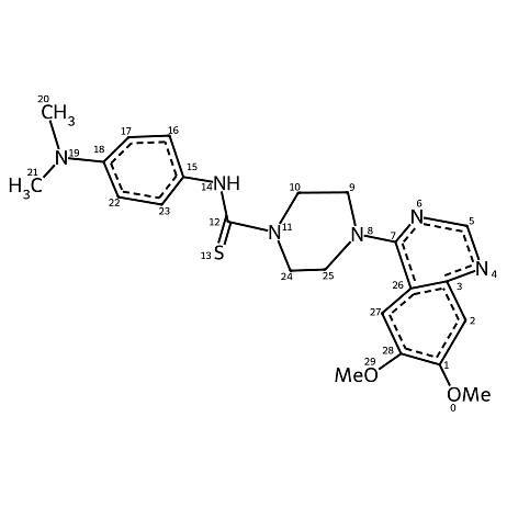 COc1cc2ncnc(N3CCN(C(=S)Nc4ccc(N(C)C)cc4)CC3)c2cc1OC